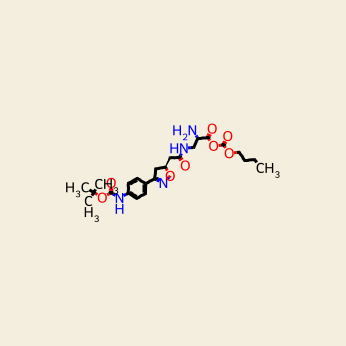 CCCCOC(=O)OC(=O)C(N)CNC(=O)C[C@@H]1CC(c2ccc(NC(=O)OC(C)(C)C)cc2)=NO1